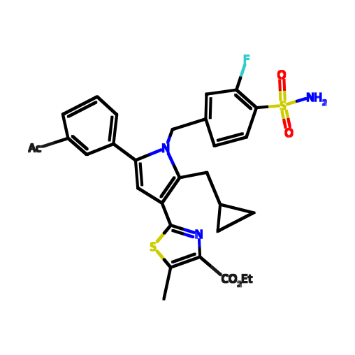 CCOC(=O)c1nc(-c2cc(-c3cccc(C(C)=O)c3)n(Cc3ccc(S(N)(=O)=O)c(F)c3)c2CC2CC2)sc1C